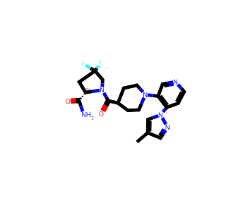 Cc1cnn(-c2ccncc2N2CCC(C(=O)N3CC(F)(F)C[C@H]3C(N)=O)CC2)c1